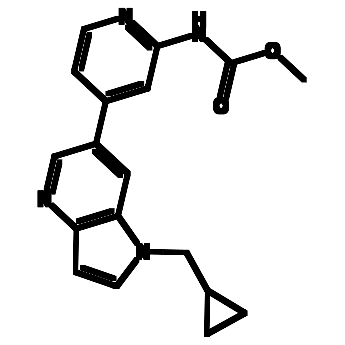 COC(=O)Nc1cc(-c2cnc3ccn(CC4CC4)c3c2)ccn1